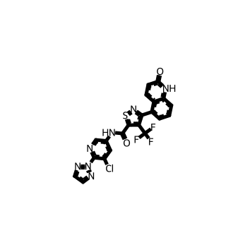 O=C(Nc1cnc(-n2nccn2)c(Cl)c1)c1snc(-c2cccc3[nH]c(=O)ccc23)c1C(F)(F)F